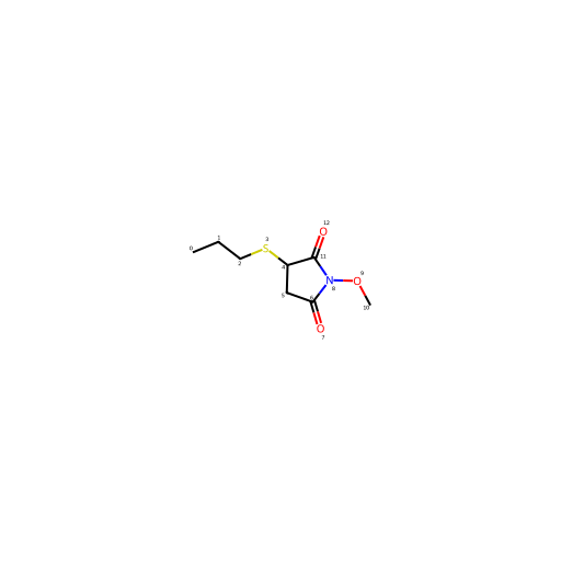 CCCSC1CC(=O)N(OC)C1=O